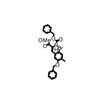 COC(=O)C(=Cc1cc(OCc2ccccc2)c(C)cc1Br)NC(=O)OCc1ccccc1